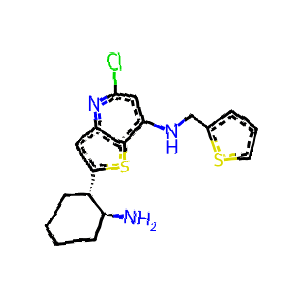 N[C@H]1CCCC[C@@H]1c1cc2nc(Cl)cc(NCc3cccs3)c2s1